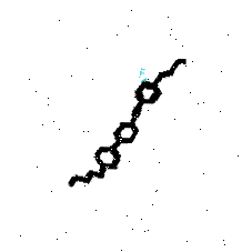 CCCCCC1CCC(C2CCC(C#Cc3ccc(CCCC)c(F)c3)CC2)CC1